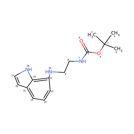 CC(C)(C)OC(=O)NCCNc1cccc2cc[nH]c12